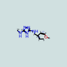 C/C=C(\C=C/OC)CNc1nnc(NC)[nH]1